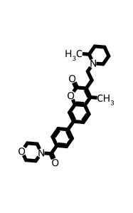 Cc1c(CCN2CCCCC2C)c(=O)oc2cc(-c3ccc(C(=O)N4CCOCC4)cc3)ccc12